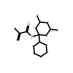 C=C(C)C(=O)OC1(C2CCCCC2)CC(C)CC(C)C1